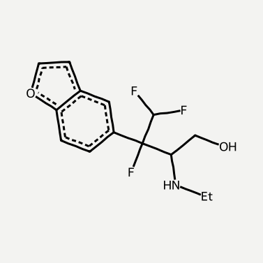 CCNC(CO)C(F)(c1ccc2occc2c1)C(F)F